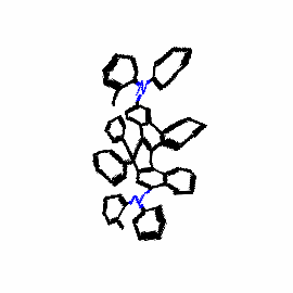 Cc1ccccc1N(c1ccccc1)c1ccc2c3c(c4ccccc4c2c1)-c1c(cc(N(c2ccccc2)c2ccccc2C)c2ccccc12)C3(c1ccccc1)c1ccccc1